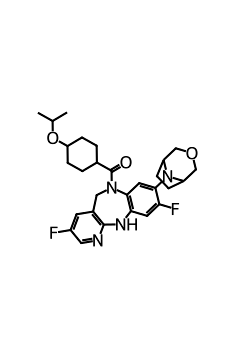 CC(C)OC1CCC(C(=O)N2Cc3cc(F)cnc3Nc3cc(F)c(N4C5CCC4COC5)cc32)CC1